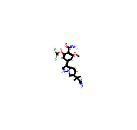 COc1cc(-c2cnn3cc(C(C)(C)C#N)ccc23)cc(OC(F)F)c1C(N)=O